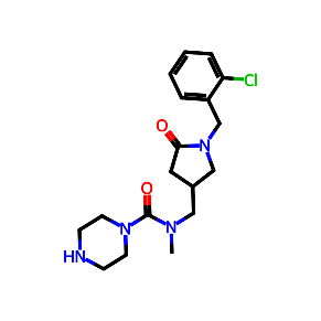 CN(CC1CC(=O)N(Cc2ccccc2Cl)C1)C(=O)N1CCNCC1